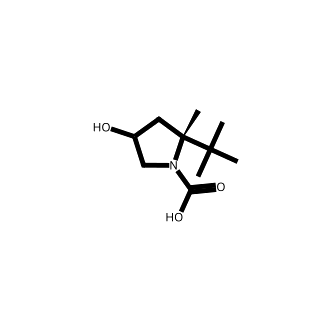 CC(C)(C)[C@@]1(C)CC(O)CN1C(=O)O